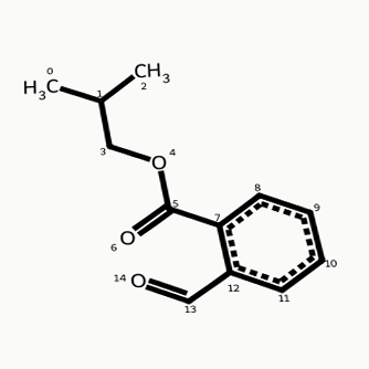 CC(C)COC(=O)c1ccccc1C=O